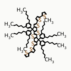 CCCCCCc1cc(CCCCCC)cc(C2(c3cc(CCCCCC)cc(CCCCCC)c3)c3cc(-c4ccc(-c5cccs5)s4)sc3-c3sc4c5c(sc4c32)-c2sc(-c3ccc(-c4cccs4)s3)cc2C5(c2cc(CCCCCC)cc(CCCCCC)c2)c2cc(CCCCCC)cc(CCCCCC)c2)c1